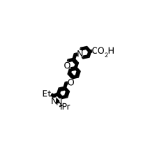 CCc1nn(C(C)C)c2ccc(COc3ccc4c(c3)OCC(CN3CCC(C(=O)O)CC3)=C4)cc12